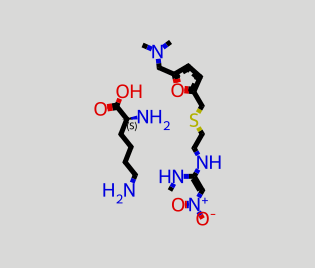 CNC(=C[N+](=O)[O-])NCCSCc1ccc(CN(C)C)o1.NCCCC[C@H](N)C(=O)O